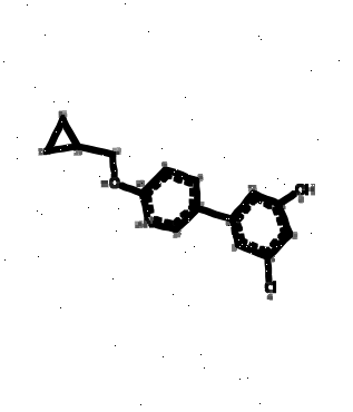 Oc1cc(Cl)cc(-c2ccc(OCC3CC3)nc2)c1